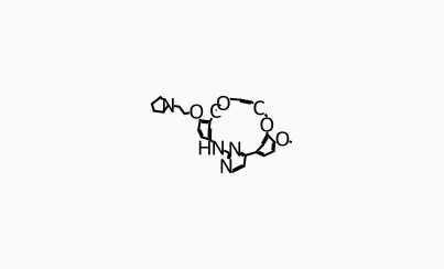 COc1ccc2cc1OCC/C=C\COCc1cc(ccc1OCCN1CCCC1)Nc1nccc-2n1